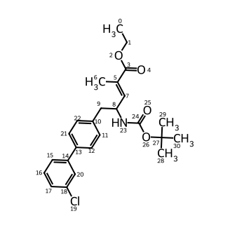 CCOC(=O)/C(C)=C/C(Cc1ccc(-c2cccc(Cl)c2)cc1)NC(=O)OC(C)(C)C